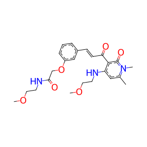 COCCNC(=O)COc1cccc(C=CC(=O)c2c(NCCOC)cc(C)n(C)c2=O)c1